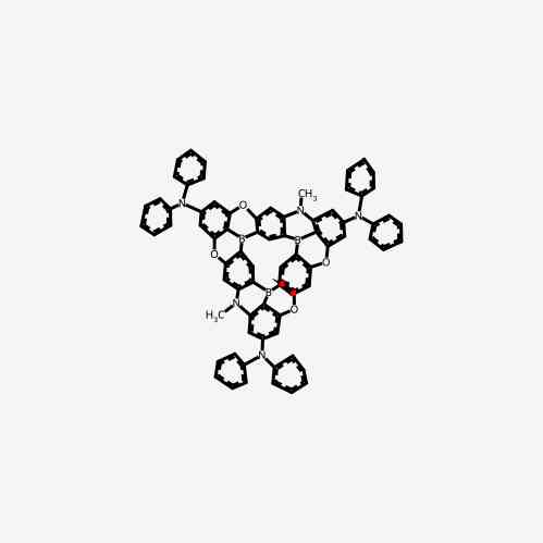 CN1c2cc3c(cc2B2c4ccccc4Oc4cc(N(c5ccccc5)c5ccccc5)cc1c42)B1c2cc4c(cc2Oc2cc(N(c5ccccc5)c5ccccc5)cc(c21)O3)N(C)c1cc(N(c2ccccc2)c2ccccc2)cc2c1B4c1ccccc1O2